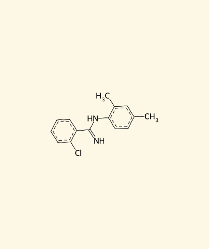 Cc1ccc(NC(=N)c2ccccc2Cl)c(C)c1